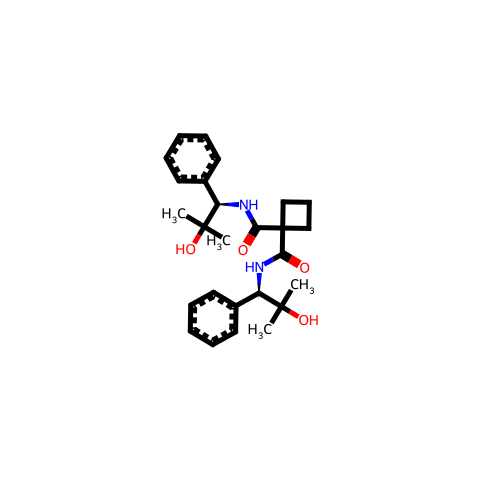 CC(C)(O)[C@H](NC(=O)C1(C(=O)N[C@H](c2ccccc2)C(C)(C)O)CCC1)c1ccccc1